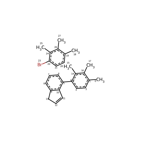 Cc1ccc(-c2cccc3c2C=CC3)c(C)c1C.Cc1ccc(Br)c(C)c1C